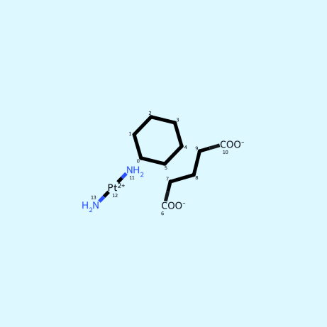 C1CCCCC1.O=C([O-])CCCC(=O)[O-].[NH2][Pt+2][NH2]